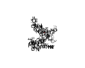 COc1ccc(C(OC2C(COP(=O)(OCCC#N)OC3C(F)C(CN=[N+]=[N-])OC3n3cnc4c(=O)[nH]c(NC(=O)C(C)C)nc43)OC(n3cnc4c(NC(=O)c5ccccc5)ncnc43)C2C)(c2ccccc2)c2ccc(OC)cc2)cc1